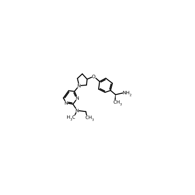 CCN(C)c1nccc(N2CCC(Oc3ccc([C@H](C)N)cc3)C2)n1